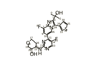 CC(C)(O)c1nc2c(F)cc(-c3nc(N[C@@H]4CCOC[C@H]4O)ncc3F)cn2c1-c1ccsc1